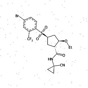 CCO[C@@H]1C[C@H](S(=O)(=O)c2ccc(Br)cc2C(F)(F)F)C[C@H]1C(=O)NC1(C#N)CC1